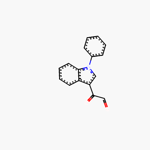 O=CC(=O)c1cn(-c2ccccc2)c2ccccc12